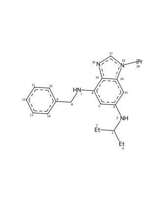 CCC(CC)Nc1cc(NCc2ccccc2)c2ncn(C(C)C)c2c1